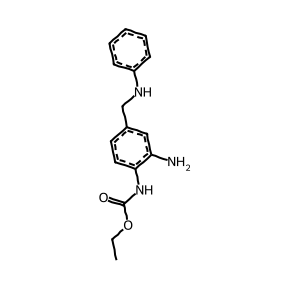 CCOC(=O)Nc1ccc(CNc2ccccc2)cc1N